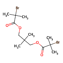 CC(C)(COC(=O)C(C)(C)Br)COC(=O)C(C)(C)Br